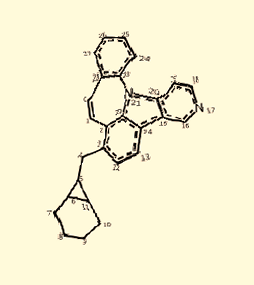 C1=Cc2c(CC3C4CCCCC43)ccc3c4cnccc4n(c23)-c2ccccc21